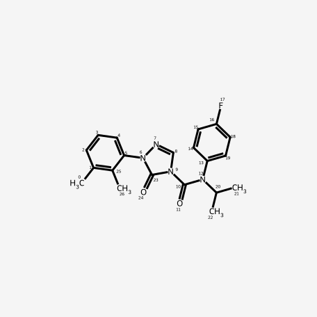 Cc1cccc(-n2ncn(C(=O)N(c3ccc(F)cc3)C(C)C)c2=O)c1C